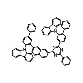 c1ccc(-c2ccc(-n3c4ccccc4c4ccccc43)c(-c3ccc4ccc(-c5nc(-c6ccccc6)nc(-c6ccc(-c7ccccc7)c(-n7c8ccccc8c8ccccc87)c6)n5)cc4c3)c2)cc1